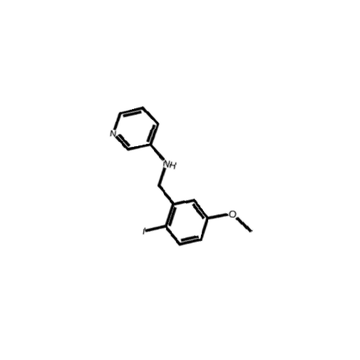 COc1ccc(I)c(CNc2cccnc2)c1